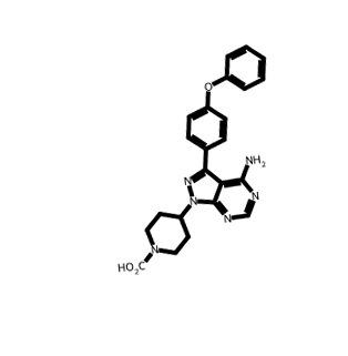 Nc1ncnc2c1c(-c1ccc(Oc3ccccc3)cc1)nn2C1CCN(C(=O)O)CC1